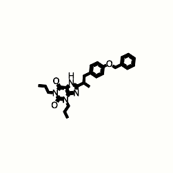 CCCn1c(=O)c2[nH]c(C(C)Cc3ccc(OCc4ccccc4)cc3)nc2n(CCC)c1=O